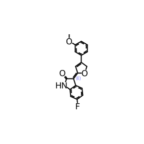 COc1cccc(C2=C/C(=C3\C(=O)Nc4cc(F)ccc43)OC2)c1